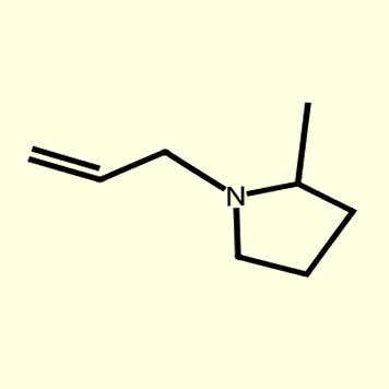 C=CCN1CCCC1C